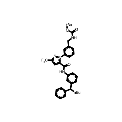 CCCCC(c1ccccc1)c1cccc(NC(=O)c2cc(C(F)(F)F)nn2-c2cccc(CNC(=O)OC(C)(C)C)c2)c1